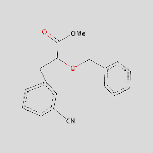 COC(=O)C(Cc1cccc(C#N)c1)OCc1ccccc1